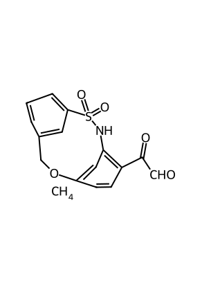 C.O=CC(=O)c1ccc2cc1NS(=O)(=O)c1cccc(c1)CO2